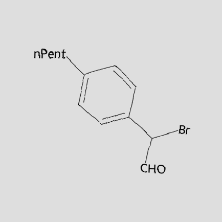 CCCCCc1ccc(C(Br)C=O)cc1